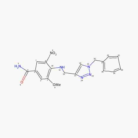 COc1cc(C(N)=O)cc([N+](=O)[O-])c1NCc1cn(Cc2ccccc2)nn1